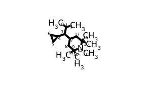 CC(C)C(C1CC1)C1CC(C)(C)N(C)C(C)(C)C1